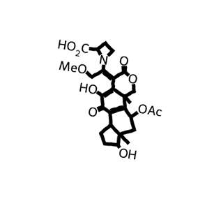 COCC(=C1C(=O)OCC2(C)C1=C(O)C(=O)C1=C2C(OC(C)=O)CC2(C)C(O)CCC12)N1CCC1C(=O)O